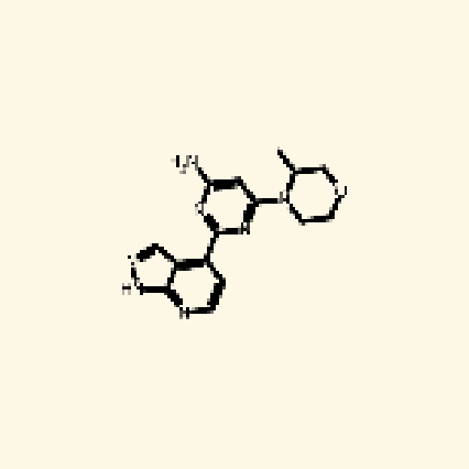 CC1COCCN1c1cc(N)nc(-c2ccnc3[nH]ncc23)n1